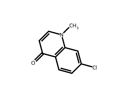 Cn1ccc(=O)c2ccc(Cl)cc21